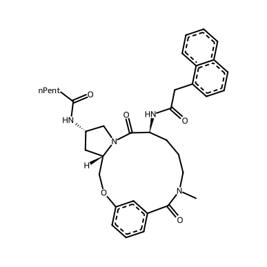 CCCCCC(=O)N[C@H]1C[C@H]2COc3cccc(c3)C(=O)N(C)CCC[C@H](NC(=O)Cc3cccc4ccccc34)C(=O)N2C1